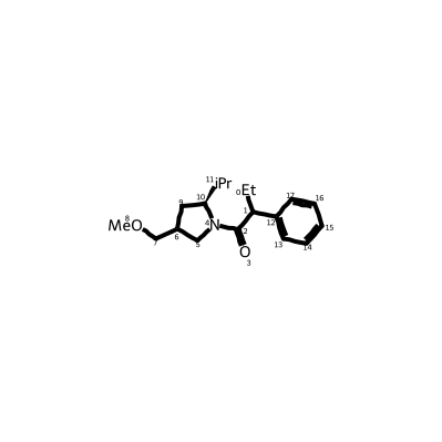 CCC(C(=O)N1CC(COC)C[C@H]1C(C)C)c1ccccc1